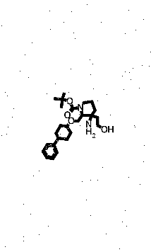 CC(C)(C)OC(=O)N1CCCC(N)(CCO)C1COC1CCC(c2ccccc2)CC1